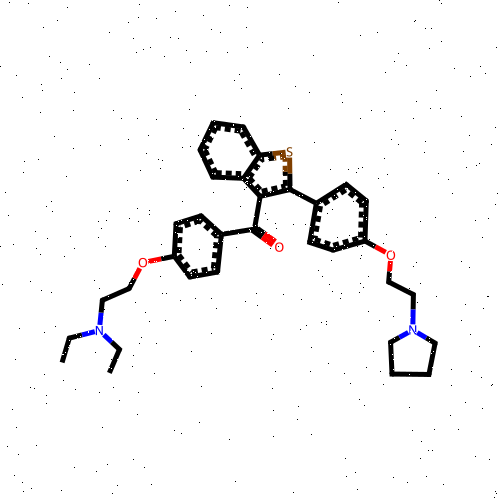 CCN(CC)CCOc1ccc(C(=O)c2c(-c3ccc(OCCN4CCCC4)cc3)sc3ccccc23)cc1